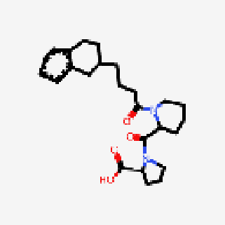 O=C(O)[C@@H]1CCCN1C(=O)C1CCCCN1C(=O)CCCC1CCc2ccccc2C1